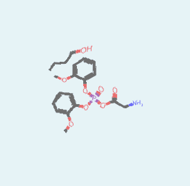 CCCCO.COc1ccccc1OP(=O)(OC(=O)CN)Oc1ccccc1OC